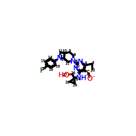 [O-][S+]1CCc2nc(N3CCC4CN(c5ccc(F)cc5)C4C3)nc(NC3(CO)CC3)c21